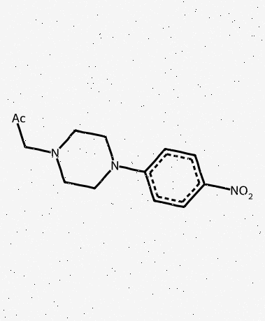 [CH2]C(=O)CN1CCN(c2ccc([N+](=O)[O-])cc2)CC1